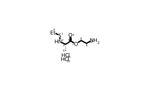 CCSN[C@@H](C)C(=O)OCCN.Cl.Cl